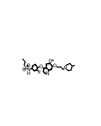 CCCS(=O)(=O)Nc1ccc(Oc2ccnc3cc(OCCCN4CCC(C)CC4)c(OC)cc23)c(F)c1